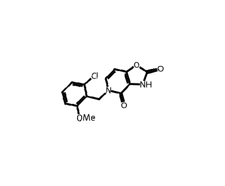 COc1cccc(Cl)c1Cn1ccc2oc(=O)[nH]c2c1=O